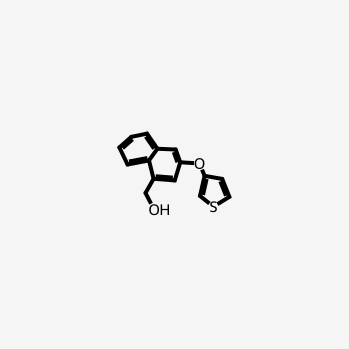 OCc1cc(Oc2ccsc2)cc2ccccc12